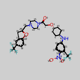 O=C(CO[C@H]1CC[C@H](Nc2ccc([N+](=O)[O-])c(C(F)(F)F)c2)CC1)N1CCN(CC2Cc3cc(C(F)(F)F)ccc3O2)CC1